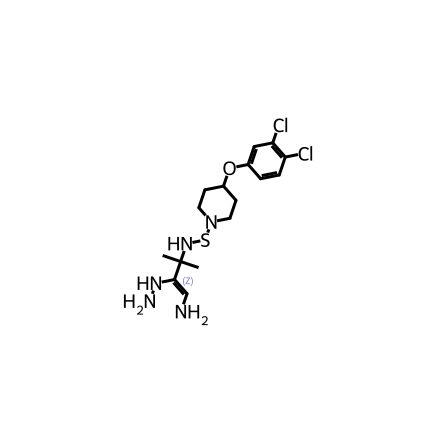 CC(C)(NSN1CCC(Oc2ccc(Cl)c(Cl)c2)CC1)/C(=C/N)NN